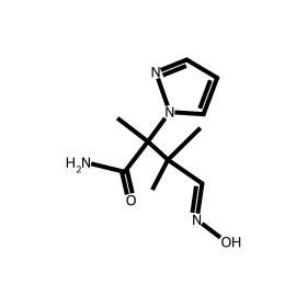 CC(C)(C=NO)C(C)(C(N)=O)n1cccn1